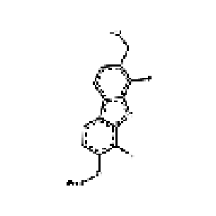 CCCCCOc1ccc2c(oc3c(F)c(CO)ccc32)c1F